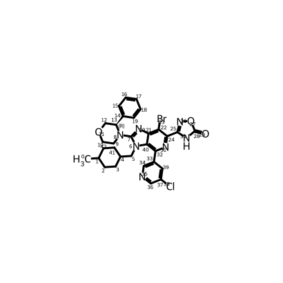 CC1CCC(Cn2c(N3CCOC[C@H]3c3ccccc3)nc3c(Br)c(-c4noc(=O)[nH]4)nc(-c4cncc(Cl)c4)c32)CC1